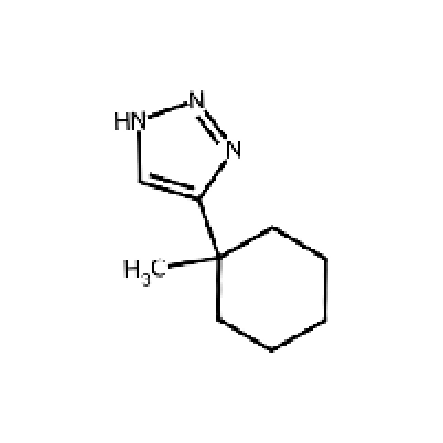 CC1(c2c[nH]nn2)CCCCC1